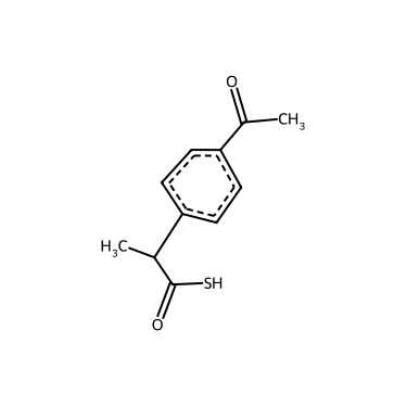 CC(=O)c1ccc(C(C)C(=O)S)cc1